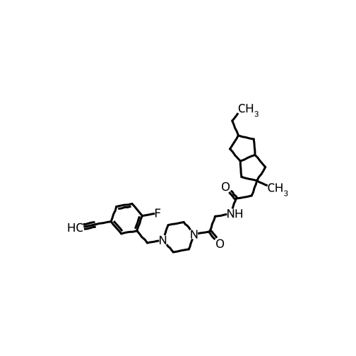 C#Cc1ccc(F)c(CN2CCN(C(=O)CNC(=O)CC3(C)CC4CC(CC)CC4C3)CC2)c1